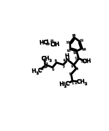 CC(C)CCC(NCCCN(C)C)C(O)c1ccccc1.Cl.Cl